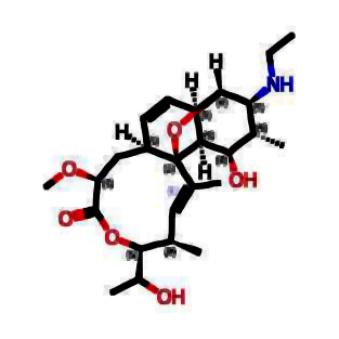 CCN[C@H]1[C@H](C)[C@@H](O)[C@@H]2[C@H]3C=C[C@@H]4C[C@H](OC)C(=O)O[C@H](C(C)O)[C@H](C)/C=C(\C)[C@@]24O[C@H]31